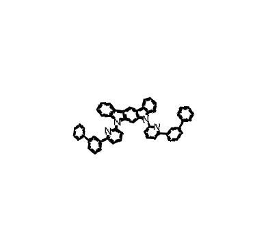 c1ccc(-c2cccc(-c3cccc(-n4c5ccccc5c5cc6c7ccccc7n(-c7cccc(-c8cccc(-c9ccccc9)c8)n7)c6cc54)n3)c2)cc1